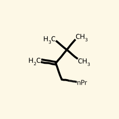 [CH2]CCCC(=C)C(C)(C)C